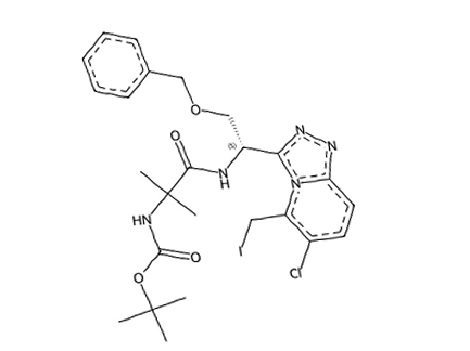 CC(C)(C)OC(=O)NC(C)(C)C(=O)N[C@H](COCc1ccccc1)c1nnc2ccc(Cl)c(CI)n12